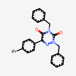 CC(C)c1ccc(-c2nn(Cc3ccccc3)c(=O)n(Cc3ccccc3)c2=O)cc1